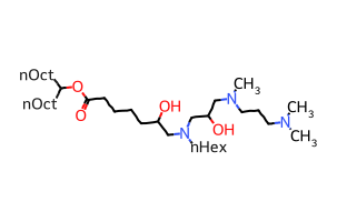 CCCCCCCCC(CCCCCCCC)OC(=O)CCCCC(O)CN(CCCCCC)CC(O)CN(C)CCCN(C)C